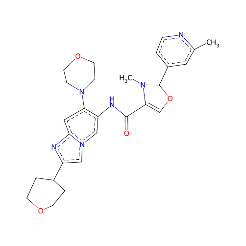 Cc1cc(C2OC=C(C(=O)Nc3cn4cc(C5CCOCC5)nc4cc3N3CCOCC3)N2C)ccn1